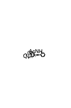 CC(=O)Nc1ccccc1C#C[C@H]1C[C@@H](CN2CCCCC2)C(=O)N1C